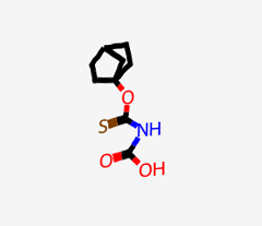 O=C(O)NC(=S)OC12CCC(CC1)C2